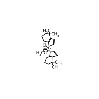 C[CH]=[Zr]([Cl])([Cl])([CH]1C=CC2=C1CCCC2(C)C)[CH]1C=CC2=C1CCCC2(C)C